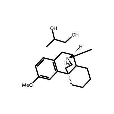 CC(O)CO.COc1ccc2c(c1)[C@]13CCCC[C@@H]1[C@H](C2)N(C)CC3